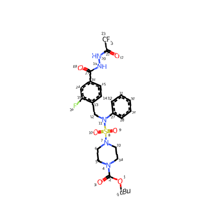 CC(C)(C)OC(=O)N1CCN(S(=O)(=O)N(Cc2ccc(C(=O)NNC(=O)C(F)(F)F)cc2F)c2ccccc2)CC1